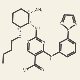 CCCCO[C@@H]1CCC[C@H](N)[C@@H]1Nc1ncc(C(N)=O)c(Nc2cccc(-n3nccn3)c2)n1